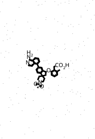 Cc1cccc(OC2CC3(CCN(S(C)(=O)=O)CC3)c3ccc(-c4cccc5c(N)nccc45)cc32)c1CC(=O)O